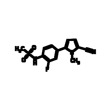 Cn1c(C#N)ccc1-c1ccc(NS(C)(=O)=O)c(F)c1